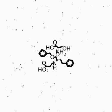 N[C@@H](CO)C(=O)O.O=C(O)CCN[C@H](CCc1ccccc1)C(=O)OCc1ccccc1